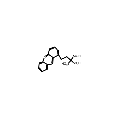 O=S(=O)(O)C(CCc1cccc2nc3ccccc3cc12)(S(=O)(=O)O)S(=O)(=O)O